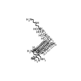 CC(=O)O.CC(=O)O.CC(=O)O.CC(=O)O.CC(=O)O.CC(=O)O.CC(=O)O.CC(=O)O.CC(=O)O.CC(=O)O.CC(=O)O.CC(=O)O.CC(=O)O.CC(=O)O.CC(=O)O.NCCNCCN.NCCNCCN.NCCNCCN.[Na].[Na].[Na]